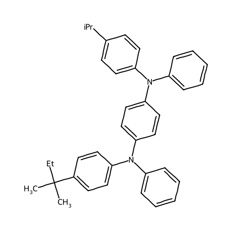 CCC(C)(C)c1ccc(N(c2ccccc2)c2ccc(N(c3ccccc3)c3ccc(C(C)C)cc3)cc2)cc1